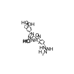 Cl.Cl.N=C(N)NCc1ccc(-c2cc(-c3nc(-c4ccc5c(c4)CCS5(O)O)cnc3N)on2)cc1